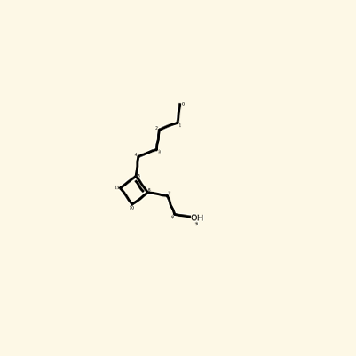 CCCCCC1=C(CCO)CC1